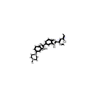 C=N/C(=C\C(Cl)=C/C)c1nc2ccc(-c3nc4ccc(N5CCN(C)CC5)cc4[nH]3)cc2[nH]1